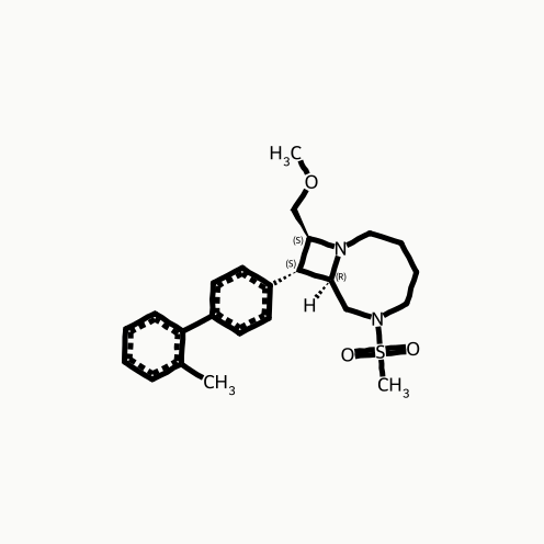 COC[C@@H]1[C@@H](c2ccc(-c3ccccc3C)cc2)[C@@H]2CN(S(C)(=O)=O)CCCCN12